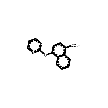 O=C(O)c1ccc(Oc2ncccn2)c2ccccc12